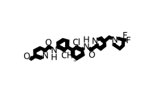 Cc1c(NC(=O)c2ccc(C=O)cn2)cccc1-c1cccc(NC(=O)c2ccc(CN3CCCC(F)(F)C3)cn2)c1Cl